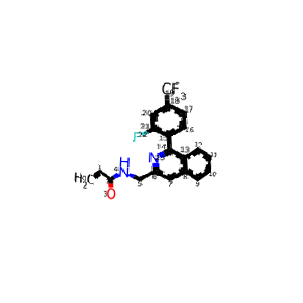 C=CC(=O)NCc1cc2ccccc2c(-c2ccc(C(F)(F)F)cc2F)n1